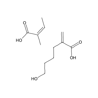 C=C(CCCCO)C(=O)O.CC=C(C)C(=O)O